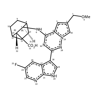 COCc1cc2c(N[C@@H]3C4CCC(CC4)[C@H]3C(=O)O)nc(-c3c[nH]c4ncc(F)cc34)nn2c1